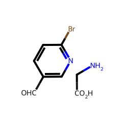 NCC(=O)O.O=Cc1ccc(Br)nc1